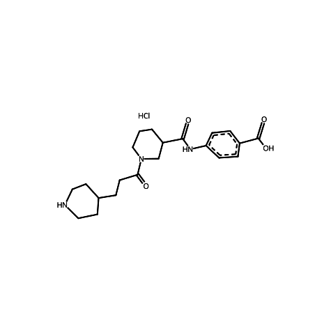 Cl.O=C(O)c1ccc(NC(=O)C2CCCN(C(=O)CCC3CCNCC3)C2)cc1